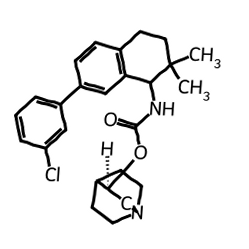 CC1(C)CCc2ccc(-c3cccc(Cl)c3)cc2C1NC(=O)O[C@H]1CN2CCC1CC2